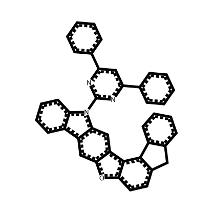 c1ccc(-c2cc(-c3ccccc3)nc(-n3c4ccccc4c4cc5oc6ccc7c(c6c5cc43)-c3ccccc3C7)n2)cc1